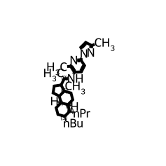 CCCC[C@H]1CC[C@H]2C3CCC([C@@H](C)Nc4ccc(-n5ccc(C)n5)nc4C)[C@@]3(C)CC[C@@H]2[C@H]1CCC